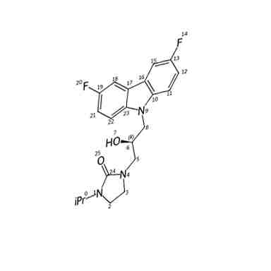 CC(C)N1CCN(C[C@@H](O)Cn2c3ccc(F)cc3c3cc(F)ccc32)C1=O